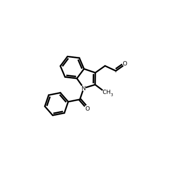 Cc1c(C[C]=O)c2ccccc2n1C(=O)c1ccccc1